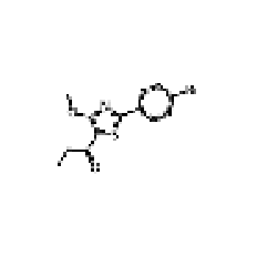 CCC(=O)c1sc(-c2ccc(Br)cc2)nc1OC